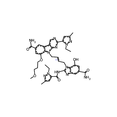 CCn1nc(C)cc1C(=O)Nc1nc2cc(C(N)=O)cc(O)c2n1C/C=C/Cn1c2nc(-c3cc(C)nn3CC)ncc2c2cc(C(N)=O)cc(OCCCOC)c21